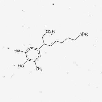 CCCCCCCCCCCCCCCC(CC(=O)O)c1cc(C)c(O)c(C(C)(C)C)c1